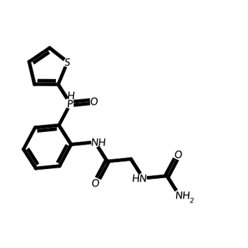 NC(=O)NCC(=O)Nc1ccccc1[PH](=O)c1cccs1